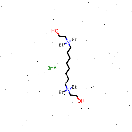 CC[N+](CC)(CCO)CCCCCCCC[N+](CC)(CC)CCO.[Br-].[Br-]